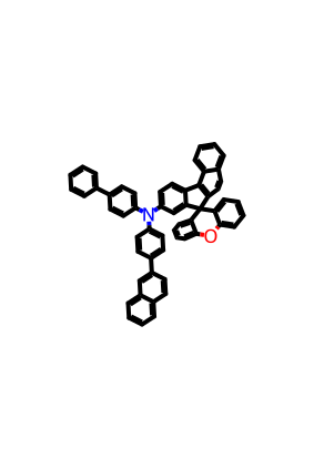 c1ccc(-c2ccc(N(c3ccc(-c4ccc5ccccc5c4)cc3)c3ccc4c(c3)C3(c5ccccc5Oc5ccccc53)c3ccc5ccccc5c3-4)cc2)cc1